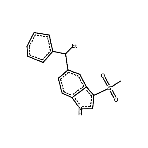 [CH2]CC(c1ccccc1)c1ccc2[nH]cc(S(C)(=O)=O)c2c1